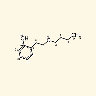 CCCCOCCc1ccccc1O